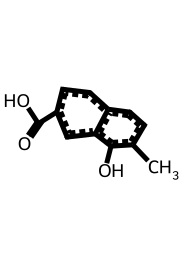 Cc1ccc2ccc(C(=O)O)cc2c1O